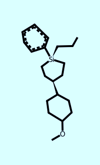 CCC[Si@]1(c2ccccc2)CC[C@H](C2CCC(OC)CC2)CC1